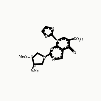 CN[C@@H]1CN(c2ncc3c(=O)c(C(=O)O)cn(-c4nccs4)c3n2)C[C@H]1OC